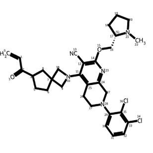 C=CC(=O)C1CCC2(C1)CN(c1c(C#N)c(OC[C@@H]3CCCN3C)nc3c1CCN(c1cccc(Cl)c1Cl)C3)C2